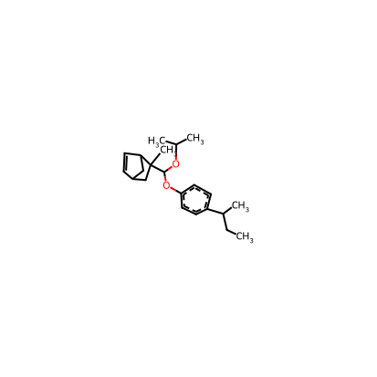 CCC(C)c1ccc(OC(OC(C)C)C2(C)CC3C=CC2C3)cc1